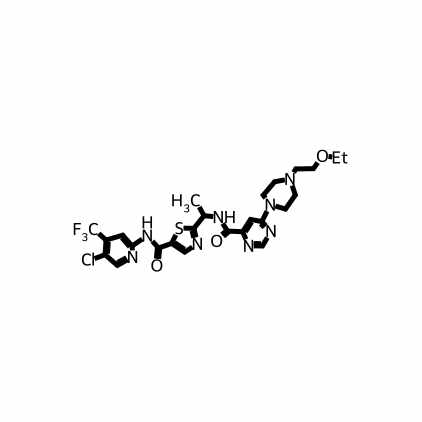 CCOCCN1CCN(c2cc(C(=O)NC(C)c3ncc(C(=O)Nc4cc(C(F)(F)F)c(Cl)cn4)s3)ncn2)CC1